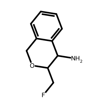 NC1c2ccccc2COC1CF